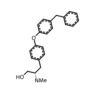 CN[C@H](CO)Cc1ccc(Oc2ccc(Cc3ccccc3)cc2)cc1